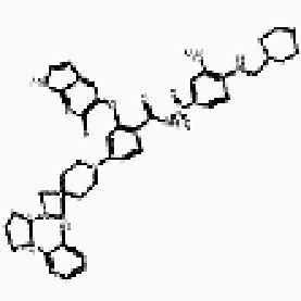 CC(C)c1ccccc1[C@H]1CCC[C@H]1N1CC2(CCN(c3ccc(C(=O)NS(=O)(=O)c4ccc(NCC5CCCCC5)c([N+](=O)[O-])c4)c(Oc4cc5cc[nH]c5nc4F)c3)CC2)C1